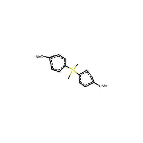 COc1ccc(S(C)(C)c2ccc(OC)cc2)cc1